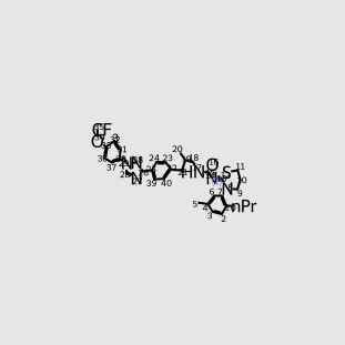 CCCc1ccc(C)cc1N1CCCS/C1=N\C(=O)NCC(C)Cc1ccc(-c2ncn(-c3ccc(OC(F)(F)F)cc3)n2)cc1